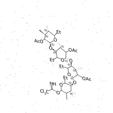 CCC1O[C@@H](O[C@@H]2C(CC)O[C@@H](O[C@@H]3C(CC)O[C@@H](O[C@@H]4C(CC)OC(OC(=N)C(Cl)(Cl)Cl)C(C)[C@H]4C)C(OC(C)=O)[C@H]3C)C(OC(C)=O)[C@H]2C)C(OC(C)=O)[C@@H](C)[C@@H]1C